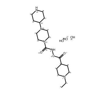 CCN1CCC(C(=O)ONC(=O)N2CCN(C3CCNCC3)CC2)CC1.Cl.Cl.Cl